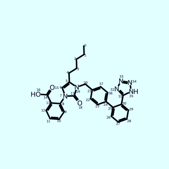 CCCCCc1cn(-c2ccccc2C(=O)O)c(=O)n1Cc1ccc(-c2ccccc2-c2nnn[nH]2)cc1